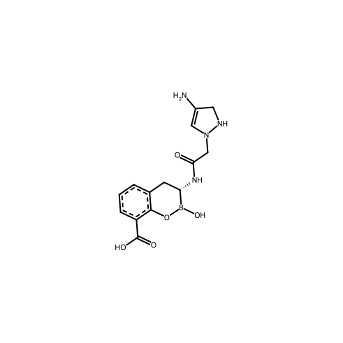 NC1=CN(CC(=O)N[C@H]2Cc3cccc(C(=O)O)c3OB2O)NC1